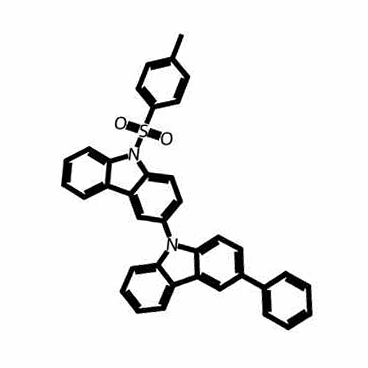 Cc1ccc(S(=O)(=O)n2c3ccccc3c3cc(-n4c5ccccc5c5cc(-c6ccccc6)ccc54)ccc32)cc1